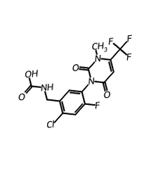 Cn1c(C(F)(F)F)cc(=O)n(-c2cc(CNC(=O)O)c(Cl)cc2F)c1=O